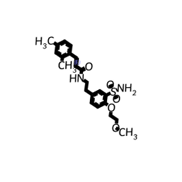 COCCOc1ccc(CCNC(=O)/C=C/c2ccc(C)cc2C)cc1S(N)(=O)=O